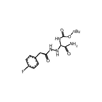 CCCCOC(=O)NC(NNC(=O)Cc1ccc(F)cc1)C(N)=O